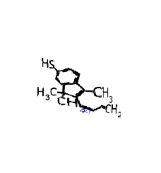 C=C/C=C\C1=C(C)c2ccc(S)cc2C1(C)C